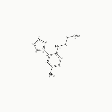 COCCNc1ccc(N)cc1-c1ccsc1